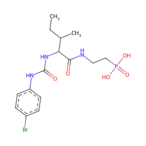 CCC(C)C(NC(=O)Nc1ccc(Br)cc1)C(=O)NCCP(=O)(O)O